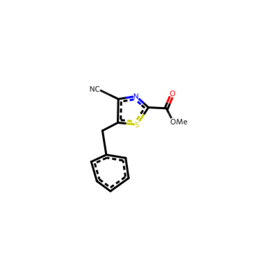 COC(=O)c1nc(C#N)c(Cc2ccccc2)s1